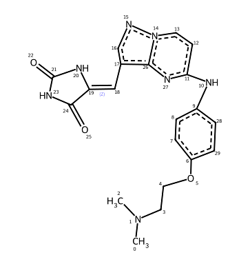 CN(C)CCOc1ccc(Nc2ccn3ncc(/C=C4\NC(=O)NC4=O)c3n2)cc1